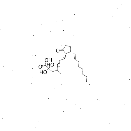 CCCCCCC=C[C@H]1CCC(=O)[C@@H]1CC=C=C(C)CC(O)(O)C(=O)O